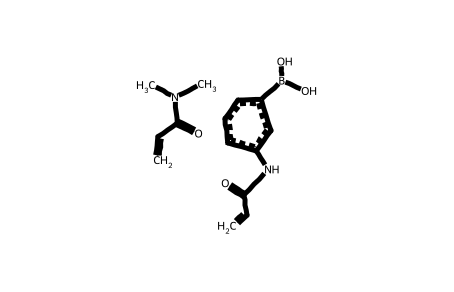 C=CC(=O)N(C)C.C=CC(=O)Nc1cccc(B(O)O)c1